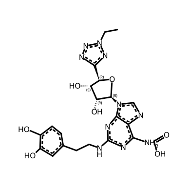 CCn1nnc([C@H]2O[C@@H](n3cnc4c(N)nc(NCCc5ccc(O)c(O)c5)nc43)[C@H](O)[C@@H]2O)n1.O=CO